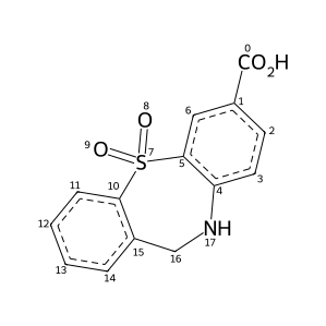 O=C(O)c1ccc2c(c1)S(=O)(=O)c1ccccc1CN2